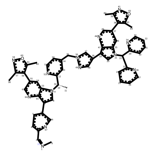 C/N=C\c1ccc(-c2cn([C@@H](C)c3cc(Cn4cc(-c5cn(C(c6ccccn6)c6ccccn6)c6cc(-c7c(C)noc7C)cnc56)cn4)ccn3)c3cc(-c4c(C)noc4C)cnc23)cn1